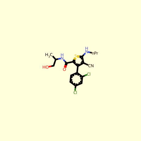 CCCNc1sc(C(=O)NC(C)CO)c(-c2ccc(Cl)cc2Cl)c1C#N